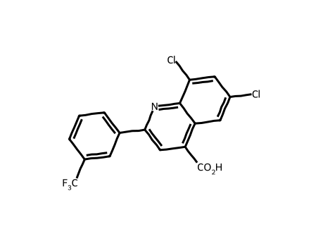 O=C(O)c1cc(-c2cccc(C(F)(F)F)c2)nc2c(Cl)cc(Cl)cc12